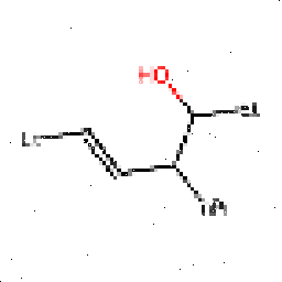 [CH2]CC=CC(CCC)C(O)CC